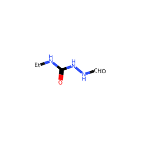 CCNC(=O)NNC=O